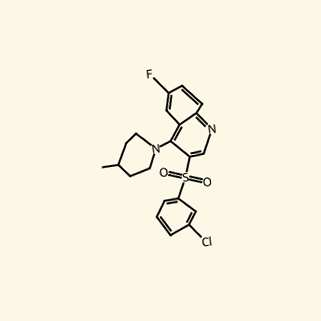 CC1CCN(c2c(S(=O)(=O)c3cccc(Cl)c3)cnc3ccc(F)cc23)CC1